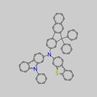 c1ccc(-n2c3ccccc3c3ccc(N(c4ccc5c(c4)C(c4ccccc4)(c4ccccc4)c4cc6ccccc6cc4-5)c4ccc5c(c4)sc4ccccc45)cc32)cc1